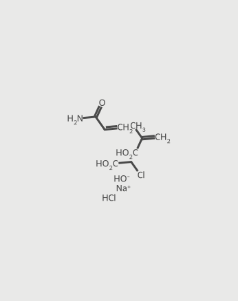 C=C(C)C(=O)O.C=CC(N)=O.Cl.O=C(O)CCl.[Na+].[OH-]